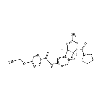 C#CCOc1cnc(C(=O)Nc2ccc(F)c([C@@]3(C)N=C(N)S[C@@]4(C(=O)N5CCCC5)C[C@H]43)c2)cn1